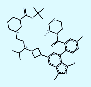 Cc1nc(F)c2c(-c3ccc(F)cc3C(=O)N3CCOC[C@H]3C)cc(C3CN([C@@H](CC[C@@H]4CN(C(=O)OC(C)(C)C)CCO4)C(C)C)C3)cn12